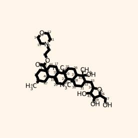 CC1CCC2(C(=O)OCCN3CCOCC3)CCC3C(=CCC4C3(C)CCC3C4(C)CCC(CC4OC(CO)C(O)C4O)[C@@]3(C)O)C2C1